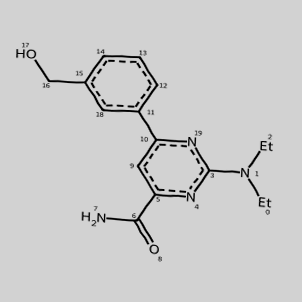 CCN(CC)c1nc(C(N)=O)cc(-c2cccc(CO)c2)n1